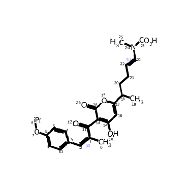 C/C(=C/c1ccc(OC(C)C)cc1)C(=O)c1c(O)cc(C(C)CC/C=C/N(C)C(=O)O)oc1=O